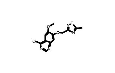 COc1cc2c(Cl)ncnc2cc1OCc1noc(C)n1